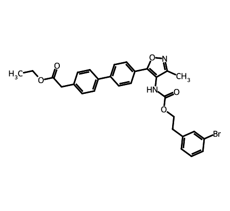 CCOC(=O)Cc1ccc(-c2ccc(-c3onc(C)c3NC(=O)OCCc3cccc(Br)c3)cc2)cc1